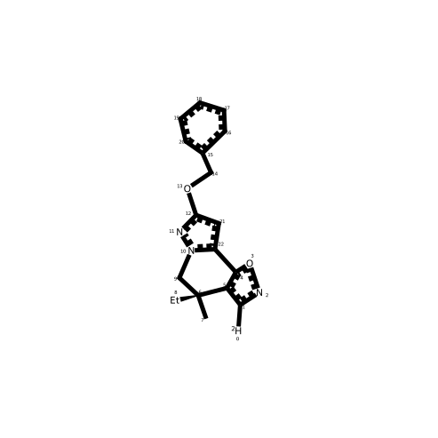 [2H]c1noc2c1[C@@](C)(CC)Cn1nc(OCc3ccccc3)cc1-2